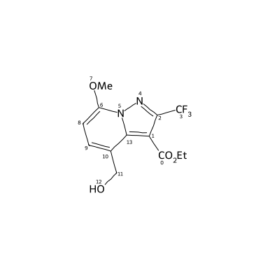 CCOC(=O)c1c(C(F)(F)F)nn2c(OC)ccc(CO)c12